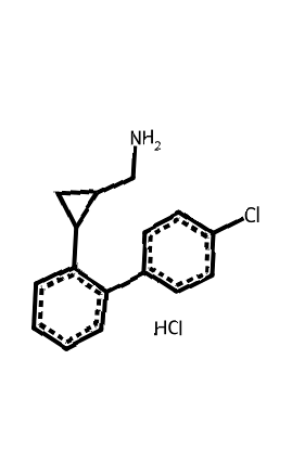 Cl.NCC1CC1c1ccccc1-c1ccc(Cl)cc1